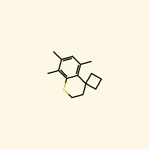 Cc1[c]c(C)c2c(c1C)SCCC21CCC1